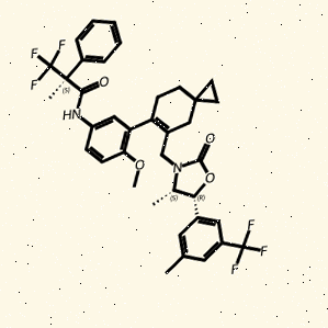 COc1ccc(NC(=O)[C@](C)(c2ccccc2)C(F)(F)F)cc1C1=C(CN2C(=O)O[C@H](c3cc(C)cc(C(F)(F)F)c3)[C@@H]2C)CC2(CC1)CC2